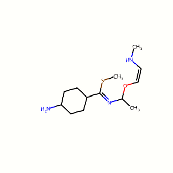 CN/C=C\OC(C)/N=C(\SC)C1CCC(N)CC1